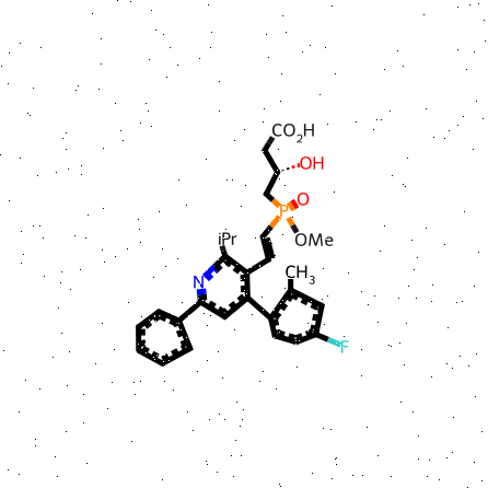 COP(=O)(C=Cc1c(-c2ccc(F)cc2C)cc(-c2ccccc2)nc1C(C)C)C[C@@H](O)CC(=O)O